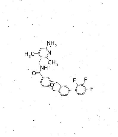 Cc1cc(N)nc(C)c1CNC(=O)c1ccc2c(c1)C1OC2c2ccc(-c3ccc(F)c(F)c3F)cc21